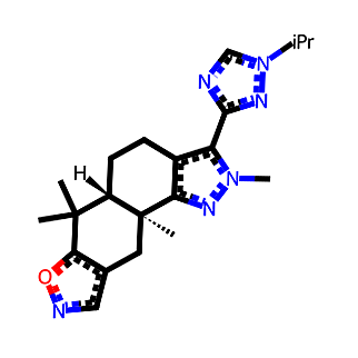 CC(C)n1cnc(-c2c3c(nn2C)[C@@]2(C)Cc4cnoc4C(C)(C)[C@@H]2CC3)n1